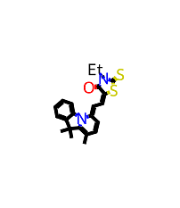 CCN1C(=O)C(=CC=C2C=CC(C)=C3N2c2ccccc2C3(C)C)SC1=S